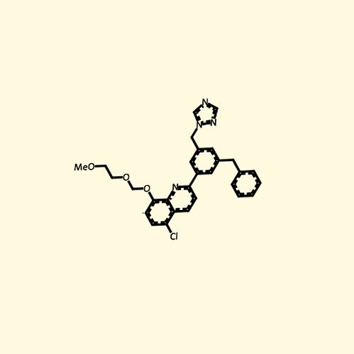 COCCOCOc1[c]cc(Cl)c2ccc(-c3cc(Cc4ccccc4)cc(Cn4cncn4)c3)nc12